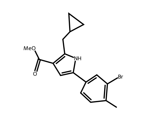 COC(=O)c1cc(-c2ccc(C)c(Br)c2)[nH]c1CC1CC1